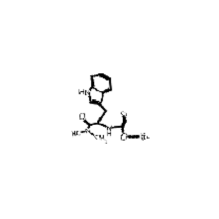 CN(C#N)C(=O)C(Cc1c[nH]c2ccccc12)NC(=O)OC(C)(C)C